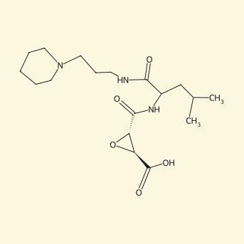 CC(C)CC(NC(=O)[C@H]1O[C@@H]1C(=O)O)C(=O)NCCCN1CCCCC1